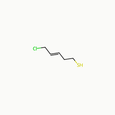 SCCC=CCCl